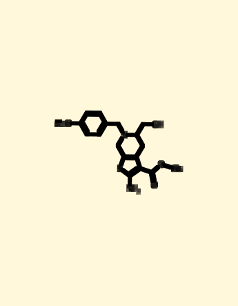 COc1ccc(CN2Cc3sc(N)c(C(=O)OC(C)(C)C)c3CC2CO)cc1